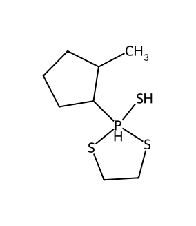 CC1CCCC1[PH]1(S)SCCS1